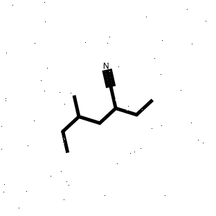 CCC(C)CC(C#N)CC